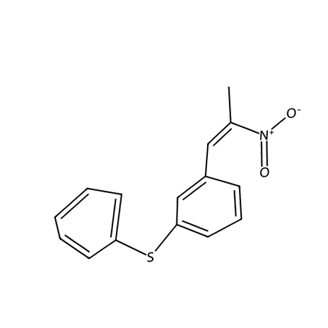 CC(=Cc1cccc(Sc2ccccc2)c1)[N+](=O)[O-]